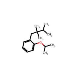 CC(C)Oc1ccccc1CC(C)(C)C(C)C